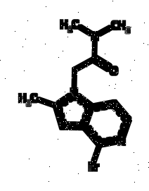 Cc1cc2c(Br)nccc2n1CC(=O)N(C)C